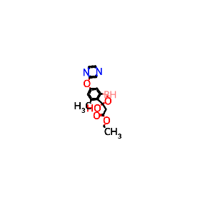 CCOC(=O)CC1(O)OBc2cc(Oc3cnccn3)cc(C)c21